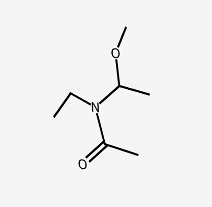 CCN(C(C)=O)C(C)OC